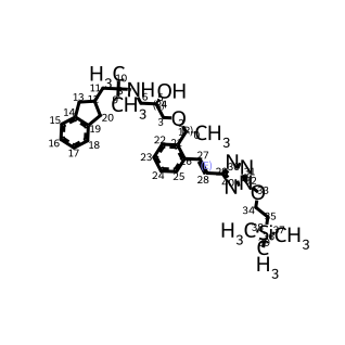 C[C@@H](OC[C@H](O)CNC(C)(C)CC1Cc2ccccc2C1)c1ccccc1/C=C/c1nnn(OCC[Si](C)(C)C)n1